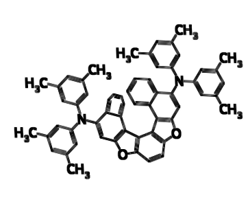 Cc1cc(C)cc(N(c2cc(C)cc(C)c2)c2cc3oc4ccc5oc6cc(N(c7cc(C)cc(C)c7)c7cc(C)cc(C)c7)c7ccccc7c6c5c4c3c3ccccc23)c1